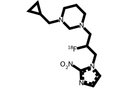 O=[N+]([O-])c1nccn1CC([18F])CN1CCCN(CC2CC2)C1